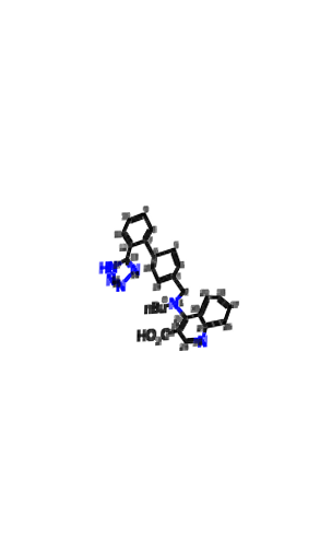 CCCCN(Cc1ccc(-c2ccccc2-c2nnn[nH]2)cc1)c1c(C(=O)O)cnc2ccccc12